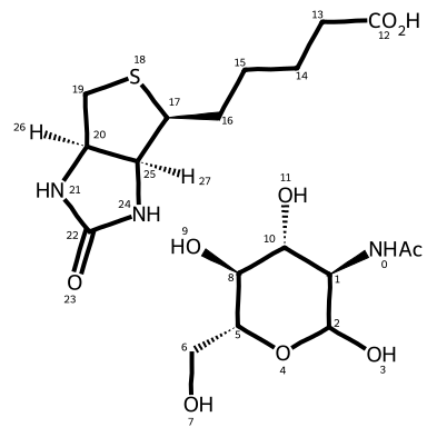 CC(=O)N[C@H]1C(O)O[C@H](CO)[C@@H](O)[C@@H]1O.O=C(O)CCCC[C@@H]1SC[C@@H]2NC(=O)N[C@@H]21